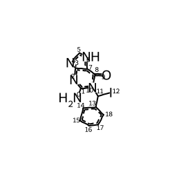 Nc1nc2nc[nH]c2c(=O)n1C(I)c1ccccc1